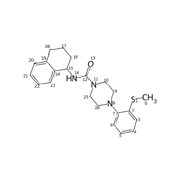 CSc1ccccc1N1CCN(C(=O)NC2CCCc3ccccc32)CC1